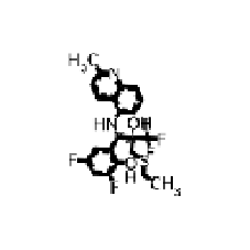 CCSC[C@@](O)([C@H](Nc1cccc2nc(C)ccc12)c1cc(F)cc(F)c1O)C(F)(F)F